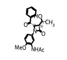 COc1ccc(N2C(=O)[C@H]([C@@H](C)O)[C@H]2C(=O)c2ccccc2)cc1NC(C)=O